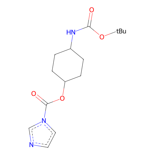 CC(C)(C)OC(=O)NC1CCC(OC(=O)n2ccnc2)CC1